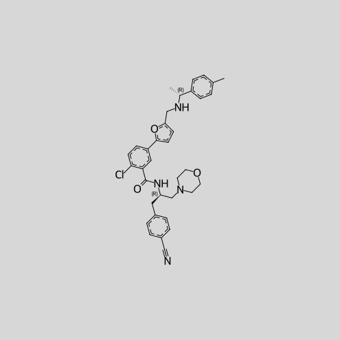 Cc1ccc([C@@H](C)NCc2ccc(-c3ccc(Cl)c(C(=O)N[C@H](Cc4ccc(C#N)cc4)CN4CCOCC4)c3)o2)cc1